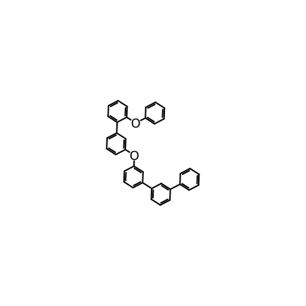 c1ccc(Oc2ccccc2-c2cccc(Oc3cccc(-c4cccc(-c5ccccc5)c4)c3)c2)cc1